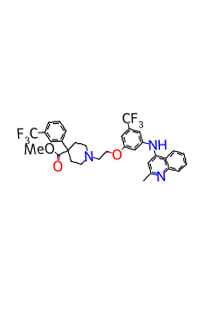 COC(=O)C1(c2cccc(C(F)(F)F)c2)CCN(CCOc2cc(Nc3cc(C)nc4ccccc34)cc(C(F)(F)F)c2)CC1